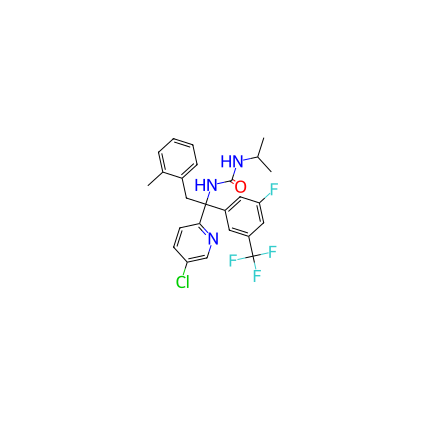 Cc1ccccc1CC(NC(=O)NC(C)C)(c1cc(F)cc(C(F)(F)F)c1)c1ccc(Cl)cn1